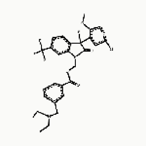 CCN(CC)Cc1cccc(C(=O)OCN2C(=O)C(F)(c3cc(Cl)ccc3OC)c3ccc(C(F)(F)F)cc32)c1